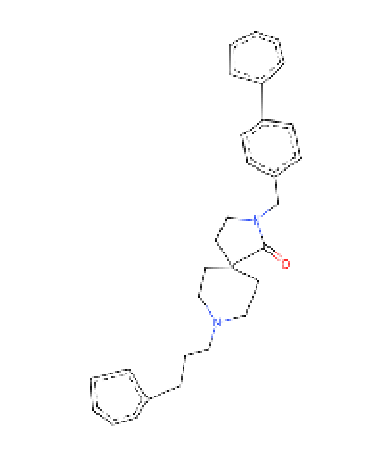 O=C1N(Cc2ccc(-c3ccccc3)cc2)CCC12CCN(CCCc1ccccc1)CC2